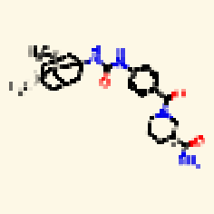 C[C@]12CC3CC(NC(=O)Nc4ccc(C(=O)N5CCC[C@H](C(N)=O)C5)cc4)(C1)C[C@@](C)(C3)C2